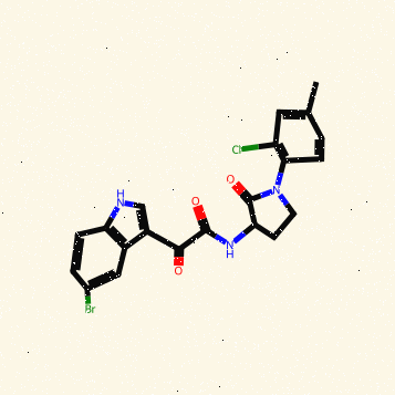 Cc1ccc(N2CCC(NC(=O)C(=O)c3c[nH]c4ccc(Br)cc34)C2=O)c(Cl)c1